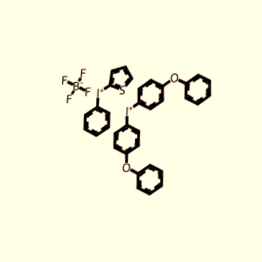 F[B-](F)(F)F.c1ccc(Oc2ccc([I+]c3ccc(Oc4ccccc4)cc3)cc2)cc1.c1ccc([I+]c2cccs2)cc1